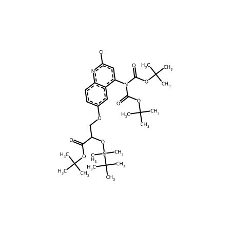 CC(C)(C)OC(=O)C(COc1ccc2nc(Cl)cc(N(C(=O)OC(C)(C)C)C(=O)OC(C)(C)C)c2c1)O[Si](C)(C)C(C)(C)C